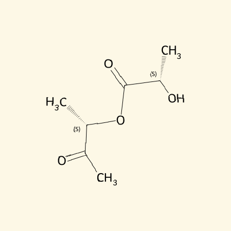 CC(=O)[C@H](C)OC(=O)[C@H](C)O